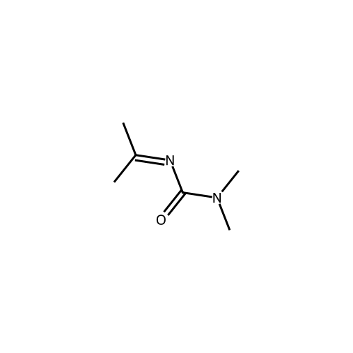 CC(C)=NC(=O)N(C)C